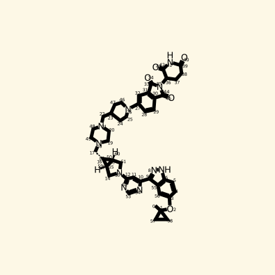 CC1(Oc2ccc3[nH]nc(-c4cc(N5C[C@@H]6[C@H](CN7CCN(CC8CCN(c9ccc%10c(c9)C(=O)N(C9CCC(=O)NC9=O)C%10=O)CC8)CC7)[C@@H]6C5)ncn4)c3c2)CC1